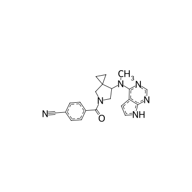 CN(c1ncnc2[nH]ccc12)C1CN(C(=O)c2ccc(C#N)cc2)CC12CC2